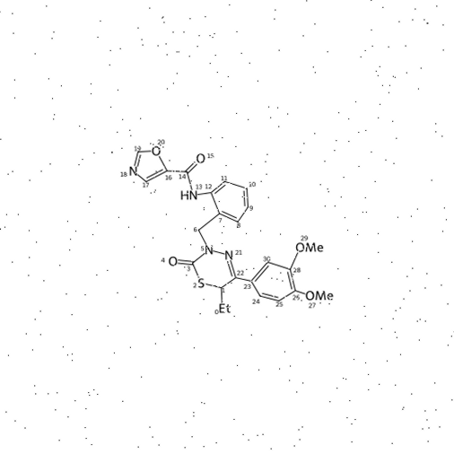 CCC1SC(=O)N(Cc2ccccc2NC(=O)c2cnco2)N=C1c1ccc(OC)c(OC)c1